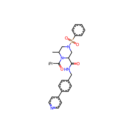 CC(C)C(=O)N1C(C)CN(S(=O)(=O)c2ccccc2)CC1C(=O)NCc1ccc(-c2ccncc2)cc1